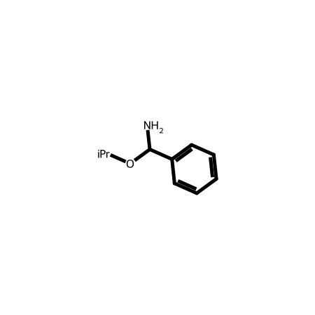 CC(C)OC(N)c1ccccc1